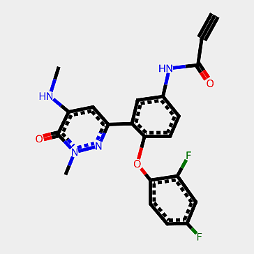 C#CC(=O)Nc1ccc(Oc2ccc(F)cc2F)c(-c2cc(NC)c(=O)n(C)n2)c1